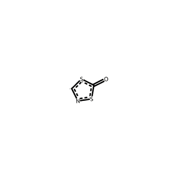 O=c1s[c]ns1